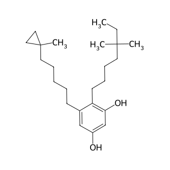 CCC(C)(C)CCCCc1c(O)cc(O)cc1CCCCCC1(C)CC1